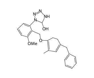 COc1cccc(N2N=NNC2O)c1COC1=C(C)C=C(Cc2ccccc2)CC1